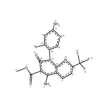 COC(=O)c1c(N)c2ccc(C(F)(F)F)nc2n(-c2cnc(N)cc2C)c1=O